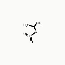 CC(C)O[SH](=O)=O